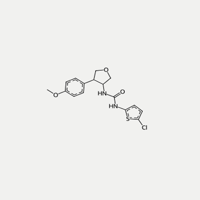 COc1ccc(C2COCC2NC(=O)Nc2ccc(Cl)s2)cc1